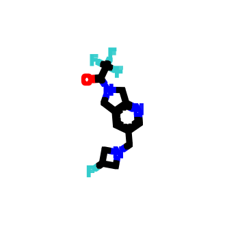 O=C(N1Cc2cc(CN3CC(F)C3)cnc2C1)C(F)(F)F